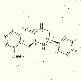 COc1ccccc1C[C@@H]1N[C@H](c2ccccc2)CNC1=O